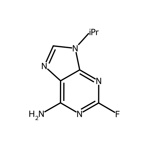 CC(C)n1cnc2c(N)nc(F)nc21